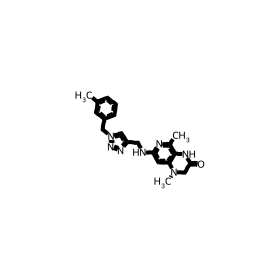 Cc1cccc(Cn2cc(CNc3cc4c(c(C)n3)NC(=O)CN4C)nn2)c1